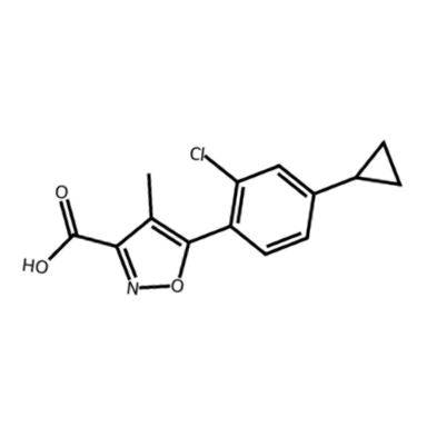 Cc1c(C(=O)O)noc1-c1ccc(C2CC2)cc1Cl